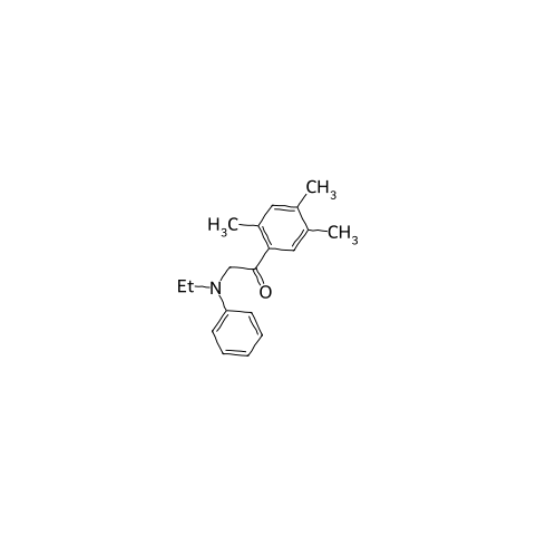 CCN(CC(=O)c1cc(C)c(C)cc1C)c1ccccc1